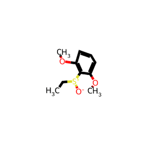 CC[S+]([O-])c1c(OC)cccc1OC